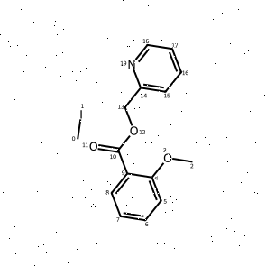 CI.COc1ccccc1C(=O)OCc1ccccn1